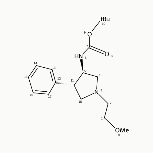 COCCN1C[C@H](NC(=O)OC(C)(C)C)[C@@H](c2ccccc2)C1